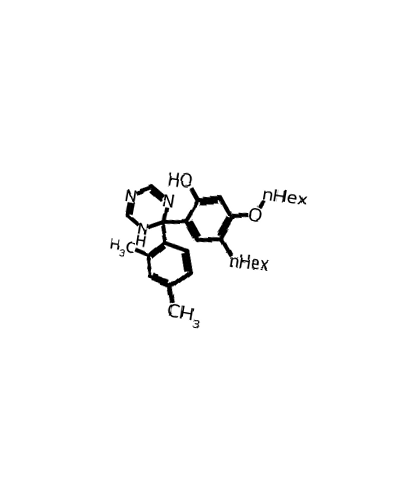 CCCCCCOc1cc(O)c(C2(c3ccc(C)cc3C)N=CN=CN2)cc1CCCCCC